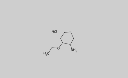 CCOC1CCCCC1N.Cl